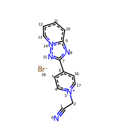 N#CC[n+]1ccc(-c2nc3ccccn3n2)cc1.[Br-]